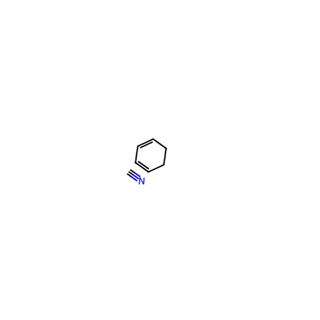 C#N.C1=CCCC=C1